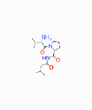 CC(C)CC(=O)NC(=O)[C@@H]1CCCN1C(=O)[C@@H](N)C(C)C